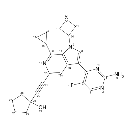 Nc1ncc(F)c(-c2cn(C3COC3)c3c(C4CC4)nc(C#CC4(O)CCCC4)cc23)n1